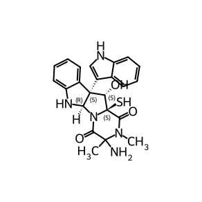 CN1C(=O)[C@@]2(S)[C@@H](O)[C@]3(c4c[nH]c5ccccc45)c4ccccc4N[C@@H]3N2C(=O)C1(C)N